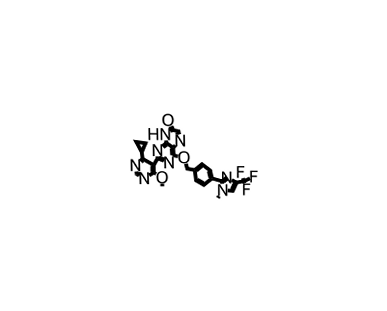 COc1ncnc(C2CC2)c1-c1nc(OCc2ccc(-c3nc(C(F)(F)F)cn3C)cc2)c2ncc(=O)[nH]c2n1